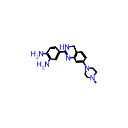 CN1CCN(c2ccc3c(c2)N=C(c2ccc(N)c(N)c2)NC3)CC1